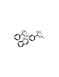 C1=Cc2ccccc2OC1.CC(C)c1ccccc1.CC(C)c1ccccc1